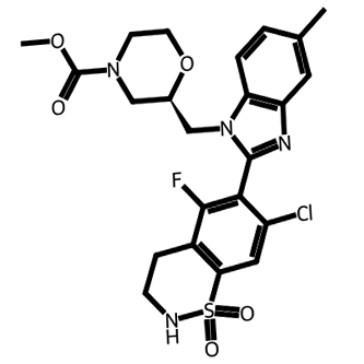 COC(=O)N1CCO[C@@H](Cn2c(-c3c(Cl)cc4c(c3F)CCNS4(=O)=O)nc3cc(C)ccc32)C1